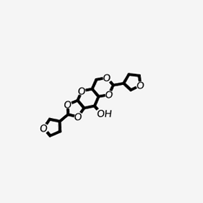 OC1C2OC(C3CCOC3)OCC2OC2OC(C3CCOC3)OC21